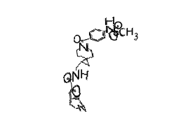 CS(=O)(=O)Nc1ccc(C(=O)N2CCC3(CC2)CC3CNC(=O)c2cc3ccncc3o2)cc1